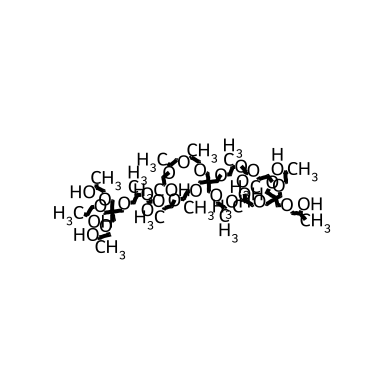 CC(O)COCC(COCC(C)O)(COCC(C)O)COCC(C)OC(=O)OC(C)COCC(COCC(C)O)(COCC(C)OCC(C)OCC(C)O)COCC(C)OCC(C)OC(=O)OC(C)COCC(COCC(C)O)(COCC(C)O)COCC(C)O